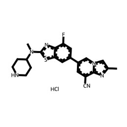 Cc1cn2cc(-c3cc(F)c4nc(N(C)C5CCNCC5)sc4c3)cc(C#N)c2n1.Cl